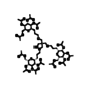 CC(=O)OC[C@@H]1S[C@H](CCCOCC(CO)(COCCC[C@H]2S[C@@H](COC(C)=O)[C@@H](OC(C)=O)[C@H](OC(C)=O)[C@H]2OC(C)=O)COCCC[C@H]2S[C@@H](COC(C)=O)[C@@H](OC(C)=O)[C@H](OC(C)=O)[C@H]2OC(C)=O)[C@H](OC(C)=O)[C@@H](OC(C)=O)[C@@H]1OC(C)=O